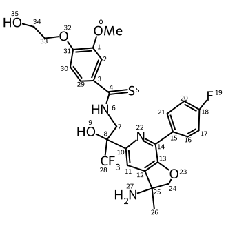 COc1cc(C(=S)NCC(O)(c2cc3c(c(-c4ccc(F)cc4)n2)OCC3(C)N)C(F)(F)F)ccc1OCCO